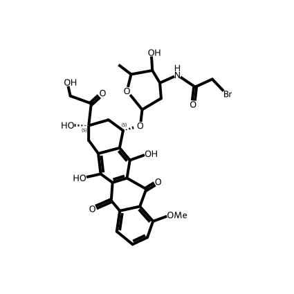 COc1cccc2c1C(=O)c1c(O)c3c(c(O)c1C2=O)C[C@@](O)(C(=O)CO)C[C@@H]3OC1CC(NC(=O)CBr)C(O)C(C)O1